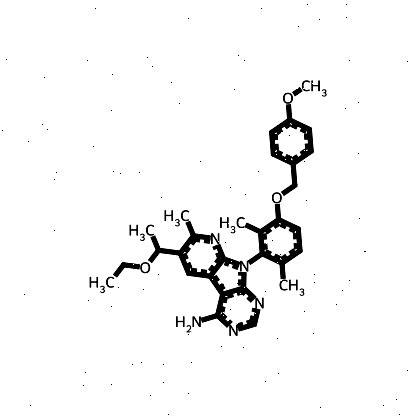 CCOC(C)c1cc2c3c(N)ncnc3n(-c3c(C)ccc(OCc4ccc(OC)cc4)c3C)c2nc1C